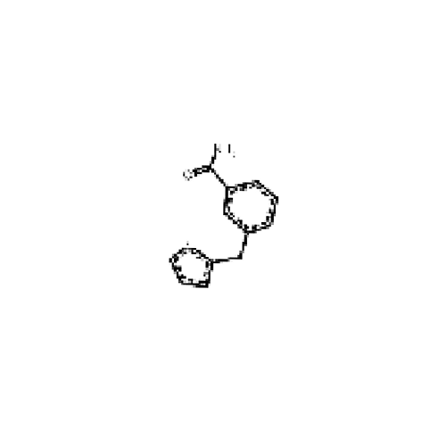 NC(=O)c1cccc(Cc2cccs2)c1